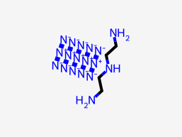 NCCNCCN.[N-]=[N+]=[N-].[N-]=[N+]=[N-].[N-]=[N+]=[N-].[N-]=[N+]=[N-].[N-]=[N+]=[N-]